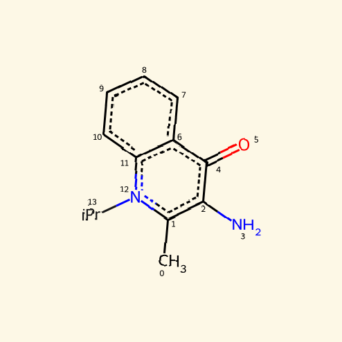 Cc1c(N)c(=O)c2ccccc2n1C(C)C